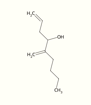 C=CCC(O)C(=C)CCCC